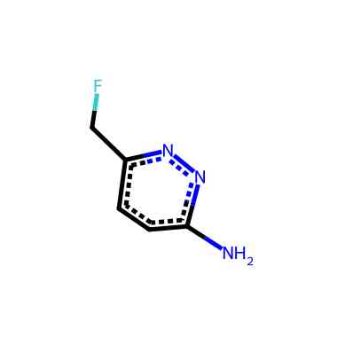 Nc1ccc(CF)nn1